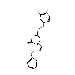 O=c1[nH]c(NCc2ccc(Cl)c(Cl)c2)nc2cnn(Cc3ccccc3)c12